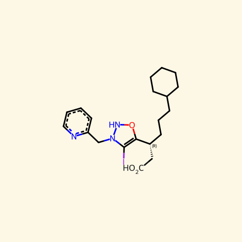 O=C(O)C[C@@H](CCCC1CCCCC1)C1=C(I)N(Cc2ccccn2)NO1